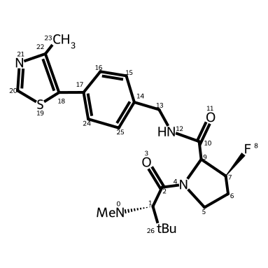 CN[C@H](C(=O)N1CC[C@H](F)C1C(=O)NCc1ccc(-c2scnc2C)cc1)C(C)(C)C